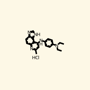 CCN(CC)c1ccc(Nc2cc(C)nc3ccc4nc[nH]c4c23)cc1.Cl